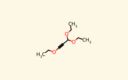 CCOC#CC(OCC)OCC